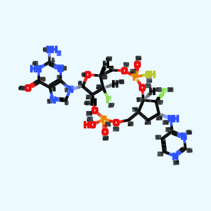 Nc1nc2c(ncn2[C@@H]2O[C@@H]3COP(=O)(S)O[C@@H]4C(COP(=O)(O)O[C@@H]2[C@@H]3F)C[C@@H](Nc2ccncn2)[C@@H]4F)c(=O)[nH]1